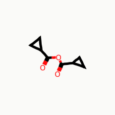 O=C(OC(=O)C1CC1)C1CC1